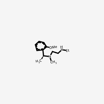 CCNCCN(C)[C@@H](C)c1ccccc1OC